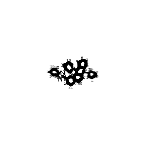 c1ccc(-c2c3ccccc3c(-c3cccc(-n4c(-c5ccccc5)nc5ccccc54)c3)c3ccccc23)cc1